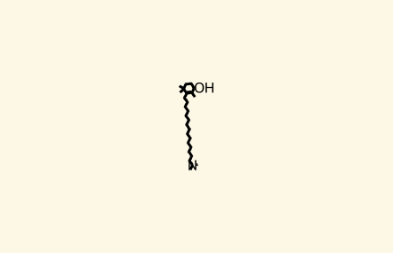 CC1=C(CCCCCCCCCCCCCCCN(C)C)C(C)(C)CCC1O